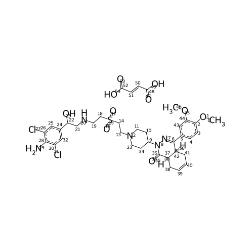 COc1ccc(C2=NN(C3CCN(CCS(=O)(=O)CCNCC(O)c4cc(Cl)c(N)c(Cl)c4)CC3)C(=O)[C@@H]3CC=CC[C@H]23)cc1OC.O=C(O)C=CC(=O)O